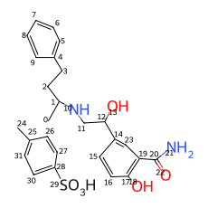 CC(CCc1ccccc1)NCC(O)c1ccc(O)c(C(N)=O)c1.Cc1ccc(S(=O)(=O)O)cc1